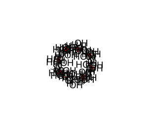 CCC.OC[C@H]1O[C@@H]2O[C@H]3[C@H](O)[C@@H](O)[C@@H](O[C@H]4[C@H](O)[C@@H](O)[C@@H](O[C@H]5[C@H](O)[C@@H](O)[C@@H](O[C@H]6[C@H](O)[C@@H](O)[C@@H](O[C@H]7[C@H](O)[C@@H](O)[C@@H](O[C@H]8[C@H](O)[C@@H](O)[C@@H](O[C@H]9[C@H](O)[C@@H](O)[C@@H](O[C@H]1[C@H](O)[C@H]2O)O[C@@H]9CO)O[C@@H]8CO)O[C@@H]7CO)O[C@@H]6CO)O[C@@H]5CO)O[C@@H]4CO)O[C@@H]3CO